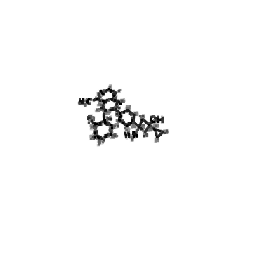 Cc1nccc2nc(-c3ccc(C4(N)CC(O)(C5CC5)C4)cc3)c(-c3ccccc3F)cc12